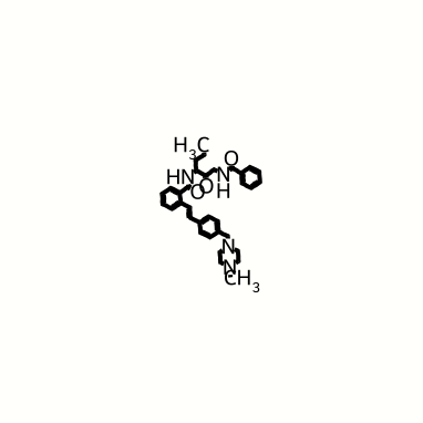 CCCC(NC(=O)c1ccccc1C=Cc1ccc(CN2CCN(C)CC2)cc1)C(=O)CNC(=O)c1ccccc1